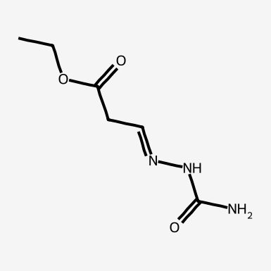 CCOC(=O)CC=NNC(N)=O